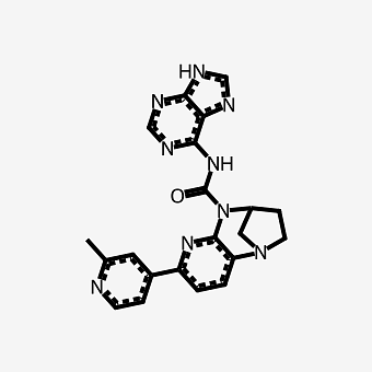 Cc1cc(-c2ccc3c(n2)N(C(=O)Nc2ncnc4[nH]cnc24)C2CCN3C2)ccn1